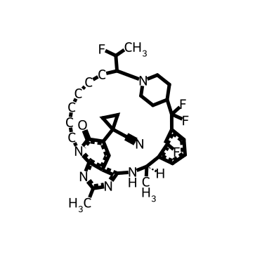 Cc1nc2c3cc(C4(C#N)CC4)c(=O)n(c3n1)CCCCCCC(C(C)F)N1CCC(CC1)C(F)(F)c1cccc(c1F)[C@@H](C)N2